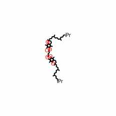 Cc1c(C)c2c(c(C)c1OC(=O)CCC(=O)Oc1c(C)c(C)c3c(c1C)CCC(C)(CCCC(C)CCCC(C)CCCC(C)C)O3)CCC(C)(CCCC(C)CCCC(C)CCCC(C)C)O2